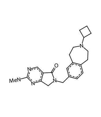 CNc1ncc2c(n1)CN(Cc1ccc3c(c1)CCN(C1CCC1)CC3)C2=O